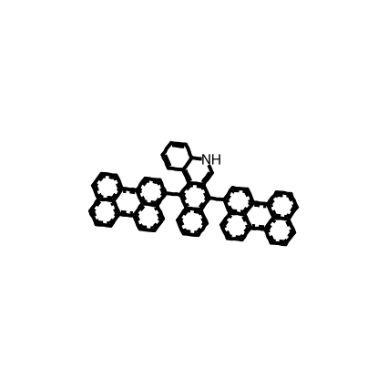 C1=CC2=c3c(-c4ccc5c6cccc7cccc(c8cccc4c85)c76)c4ccccc4c(-c4ccc5c6cccc7cccc(c8cccc4c85)c76)c3=CNC2C=C1